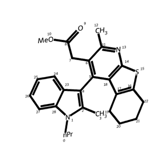 CCCn1c(C)c(-c2c(CC(=O)OC)c(C)nc3sc4c(c23)CCCC4)c2ccccc21